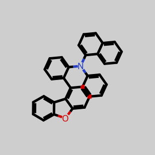 c1ccc(N(c2ccccc2-c2cccc3oc4ccccc4c23)c2cccc3ccccc23)cc1